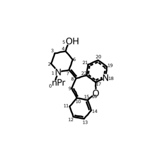 CCCN1CCC(O)CC1=C1C=C2CC=CC=C2Oc2ncccc21